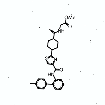 COC(=O)CNC(=S)C1CCC(c2nc(C(=O)Nc3ccccc3-c3ccc(C)cc3)cs2)CC1